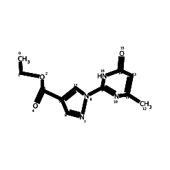 CCOC(=O)c1cnn(-c2nc(C)cc(=O)[nH]2)c1